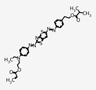 C=CC(=O)OCCN(CC)c1ccc(N=Nc2nc3sc(N=Nc4ccc(CCOC(=O)C(C)C)cc4)cc3s2)cc1